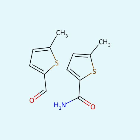 Cc1ccc(C(N)=O)s1.Cc1ccc(C=O)s1